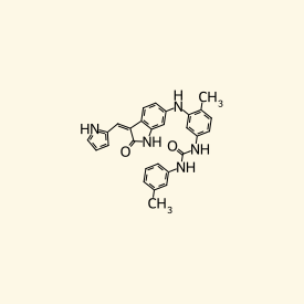 Cc1cccc(NC(=O)Nc2ccc(C)c(Nc3ccc4c(c3)NC(=O)/C4=C\c3ccc[nH]3)c2)c1